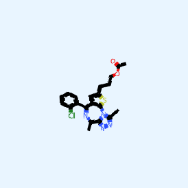 CC(=O)OCCCc1cc2c(s1)-n1c(C)nnc1C(C)N=C2c1ccccc1Cl